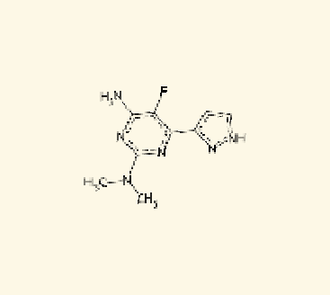 CN(C)c1nc(N)c(F)c(-c2cc[nH]n2)n1